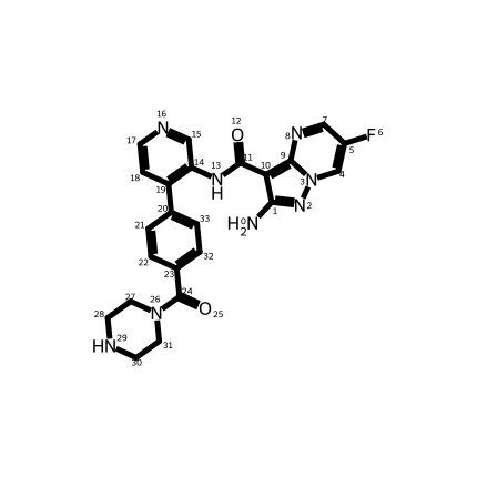 Nc1nn2cc(F)cnc2c1C(=O)Nc1cnccc1-c1ccc(C(=O)N2CCNCC2)cc1